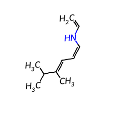 C=CN/C=C\C=C(/C)C(C)C